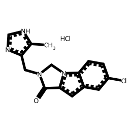 Cc1[nH]cnc1CN1Cn2c(cc3cc(Cl)ccc32)C1=O.Cl